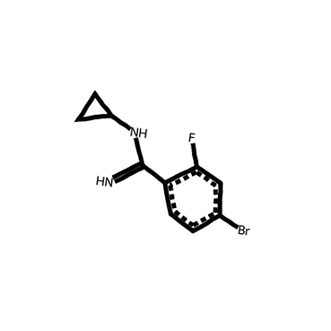 N=C(NC1CC1)c1ccc(Br)cc1F